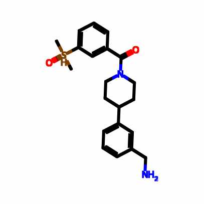 C[SH](C)(=O)c1cccc(C(=O)N2CCC(c3cccc(CN)c3)CC2)c1